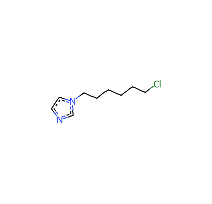 ClCCCCCCn1ccnc1